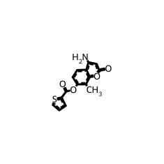 Cc1c(OC(=O)c2cccs2)ccc2c(N)cc(=O)oc12